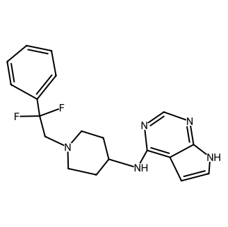 FC(F)(CN1CCC(Nc2ncnc3[nH]ccc23)CC1)c1ccccc1